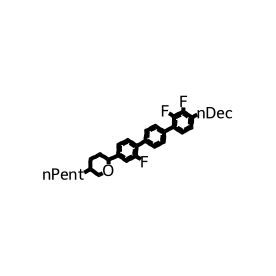 CCCCCCCCCCc1ccc(-c2ccc(-c3ccc(C4CCC(CCCCC)CO4)cc3F)cc2)c(F)c1F